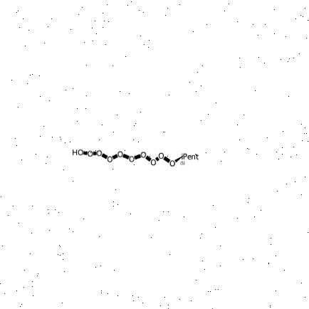 CCC[C@H](C)OOOOOOOOOO